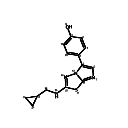 Oc1ccc(-c2cnc3sc(NCC4CC4)nn23)cc1